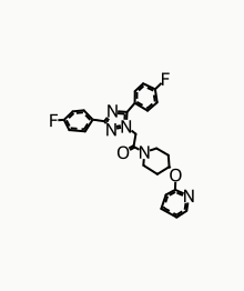 O=C(Cn1nc(-c2ccc(F)cc2)nc1-c1ccc(F)cc1)N1CCC(Oc2ccccn2)CC1